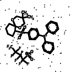 CC1(C)COC2(CCCCC2S(=O)(=O)c2ccc([S+](c3ccccc3)c3ccccc3)cc2)OC1.O=S(=O)([O-])C(F)(F)C(F)(F)C(F)(F)C(F)(F)F